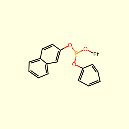 CCOP(Oc1ccccc1)Oc1ccc2ccccc2c1